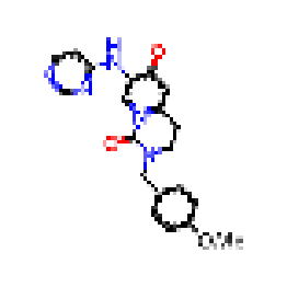 COc1ccc(CN2CCc3cc(=O)c(Nc4ccncn4)cn3C2=O)cc1